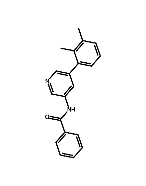 Cc1cccc(-c2cncc(NC(=O)c3ccccc3)c2)c1C